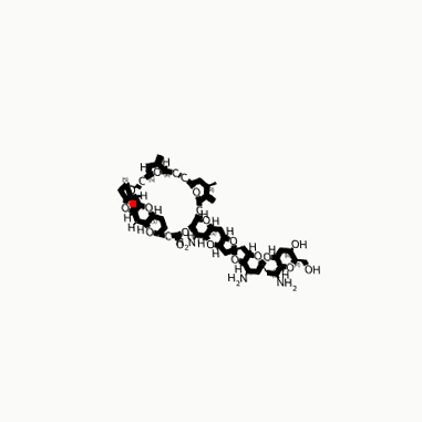 C=C1C2C[C@@H]3O[C@H]4C[C@H]5O[C@@]6(C[C@@H]7O[C@]8(C[C@H](N)[C@@H]9O[C@H](CO)[C@H](O)C[C@@H]9O8)C[C@H](N)[C@@H]7O6)C[C@H]5O[C@H]4[C@H](N)[C@H]3OC(=O)CC3CC[C@@H]4O[C@@H]5[C@H]6OC7C[C@](CC[C@H]8CC(=C)[C@H](CCC(C[C@H]1C)O2)O8)(O[C@H]6[C@H]4O3)O[C@@H]75